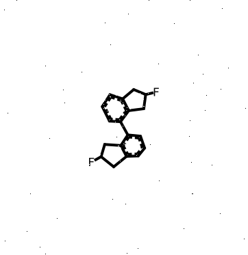 FC1Cc2cccc(-c3cccc4c3CC(F)C4)c2C1